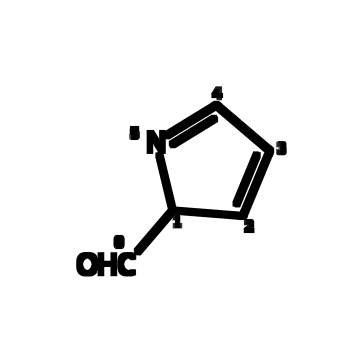 O=CC1C=CC=N1